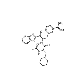 CC(=O)N[C@@H](CC1CCCCC1)C(=O)NC(Cc1cccc(C(=N)N)c1)C(=O)c1nc2ccccc2s1